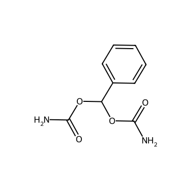 NC(=O)OC(OC(N)=O)c1ccccc1